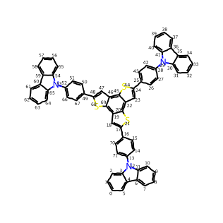 c1ccc2c(c1)c1ccccc1n2-c1ccc(-c2cc3c(s2)c2cc(-c4ccc(-n5c6ccccc6c6ccccc65)cc4)sc2c2cc(-c4ccc(-n5c6ccccc6c6ccccc65)cc4)sc32)cc1